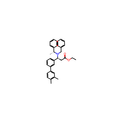 CCOC(=O)C[C@@H](c1cccc(-c2ccc(C)c(C)c2)c1)N(Cc1ccccc1)[C@H](C)c1ccccc1